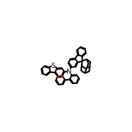 c1ccc(-c2ccccc2N(c2ccc3c(c2)C2(c4ccccc4-3)C3CC4CC(C3)CC2C4)c2ccc3c(c2)sc2ccccc23)cc1